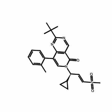 Cc1ccccc1-c1cn([C@@H](/C=C/S(C)(=O)=O)C2CC2)c(=O)c2cnc(C(C)(C)C)nc12